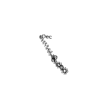 CCCCCCCCCCCCCCCCCCCCCCCCCC(=O)OCCc1ccc(OCc2ccccc2)cc1